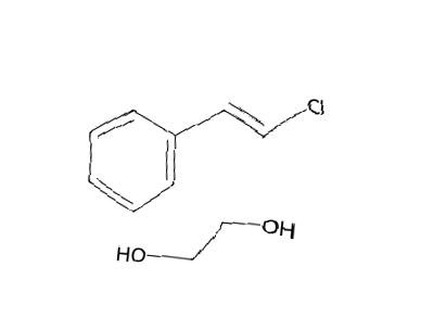 ClC=Cc1ccccc1.OCCO